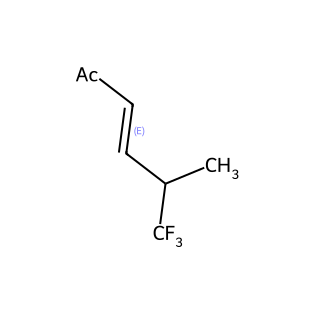 CC(=O)/C=C/C(C)C(F)(F)F